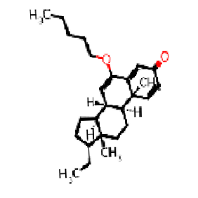 CCCCCOC1=C[C@H]2[C@@H]3CC[C@H](CC)[C@@]3(C)CC[C@@H]2[C@@]2(C)C=CC(=O)C=C12